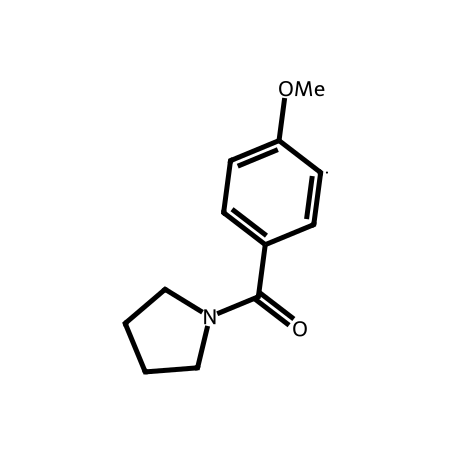 COc1[c]cc(C(=O)N2CCCC2)cc1